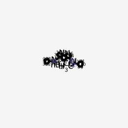 C=C/C(=N\C(=C/C)c1ccccc1)c1ccnc2c1ccc1c(C/N=C(\CCCC)c3ccccc3)ccnc12